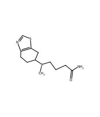 CN(CCCC(N)=O)C1CCc2ncsc2C1